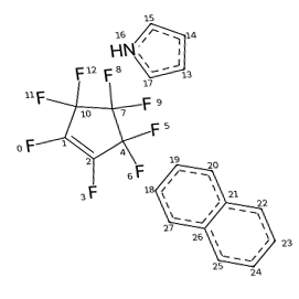 FC1=C(F)C(F)(F)C(F)(F)C1(F)F.c1cc[nH]c1.c1ccc2ccccc2c1